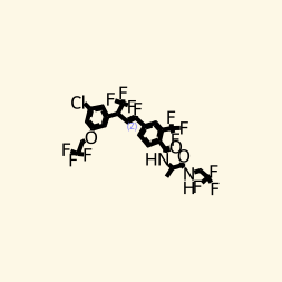 CC(NC(=O)c1ccc(/C(F)=C/C(c2cc(Cl)cc(OCC(F)(F)F)c2)C(F)(F)F)cc1C(F)(F)F)C(=O)NCC(F)(F)F